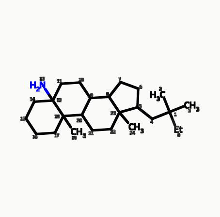 CCC(C)(C)CC1CCC2C3CCC4(N)CCCCC4(C)C3CCC12C